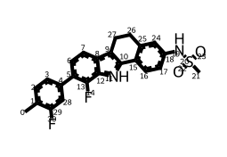 Cc1ccc(-c2ccc3c4c([nH]c3c2F)-c2ccc(NS(C)(=O)=O)cc2CC4)cc1F